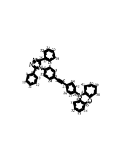 C(#Cc1ccc(-n2c(-c3ccccc3)nnc2-c2ccccc2)cc1)c1ccc(N2c3ccccc3Oc3ccccc32)cc1